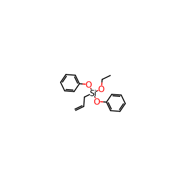 C=CC[Si](OCC)(Oc1ccccc1)Oc1ccccc1